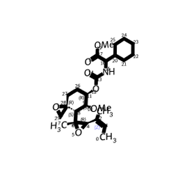 C/C=C(/C)[C@H]1O[C@]1(C)[C@H]1[C@H](OC)[C@H](OC(=O)NC(C(=O)OC)C2CCCCC2)CC[C@]12CO2